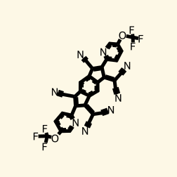 N#CC(C#N)=C1C(c2ccc(OC(F)(F)F)cn2)=C(C#N)c2cc3c(cc21)C(=C(C#N)C#N)C(c1ccc(OC(F)(F)F)cn1)=C3C#N